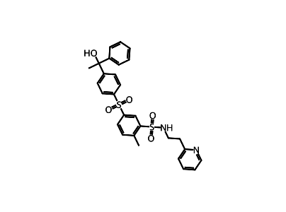 Cc1ccc(S(=O)(=O)c2ccc(C(C)(O)c3ccccc3)cc2)cc1S(=O)(=O)NCCc1ccccn1